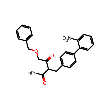 CCCC(=O)C(Cc1ccc(-c2ccccc2[N+](=O)[O-])cc1)C(=O)COCc1ccccc1